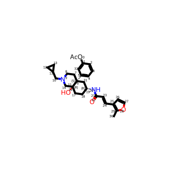 CC(=O)Oc1cccc([C@@]23CCN(CC4CC4)C[C@@]2(O)CC[C@@H](NC(=O)C=Cc2ccoc2C)C3)c1